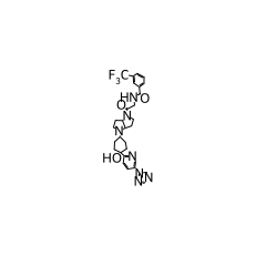 O=C(NCC(=O)N1CCC2C1CCN2C1CCC(O)(c2ccc(-n3cncn3)cn2)CC1)c1cccc(C(F)(F)F)c1